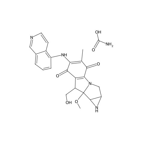 COC12C(CO)C3=C(C(=O)C(C)=C(Nc4cccc5cnccc45)C3=O)N1CC1NC12.NC(=O)O